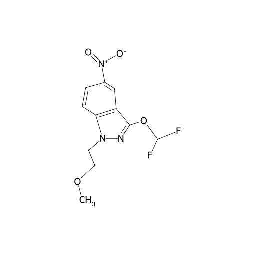 COCCn1nc(OC(F)F)c2cc([N+](=O)[O-])ccc21